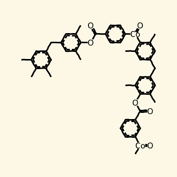 Cc1cc(Cc2cc(C)c(OC(=O)c3cc[c]([Co](=[O])[c]4c(C)cc(Cc5cc(C)c(OC(=O)c6ccc[c]([Co]([CH3])=[O])c6)c(C)c5)cc4C)cc3)c(C)c2)cc(C)c1C